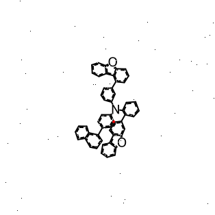 c1cc(-c2cccc3oc4ccccc4c23)cc(N(c2ccc(-c3cccc4ccccc34)cc2)c2ccccc2-c2ccc3c(c2)oc2ccccc23)c1